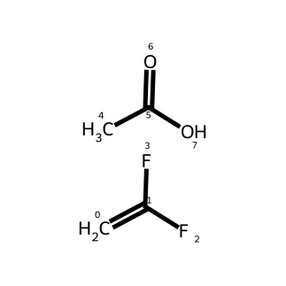 C=C(F)F.CC(=O)O